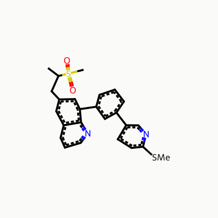 CSc1ccc(-c2cccc(-c3cc(CC(C)S(C)(=O)=O)cc4cccnc34)c2)cn1